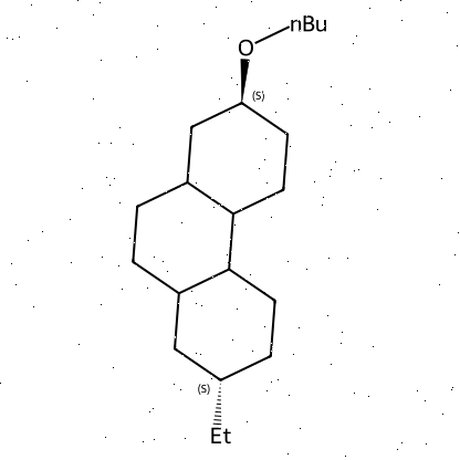 CCCCO[C@H]1CCC2C(CCC3C[C@@H](CC)CCC32)C1